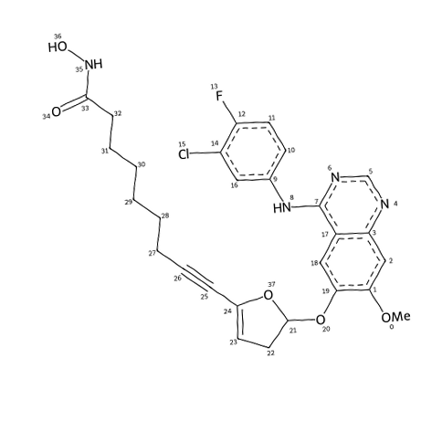 COc1cc2ncnc(Nc3ccc(F)c(Cl)c3)c2cc1OC1CC=C(C#CCCCCCCC(=O)NO)O1